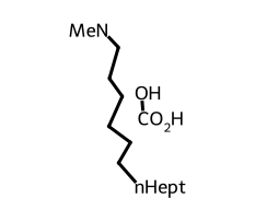 CCCCCCCCCCCCCNC.O=C(O)O